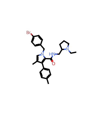 CCN1CCCC1CNC(=O)c1c(-c2ccc(C)cc2)c(C)cn1Cc1ccc(Br)cc1